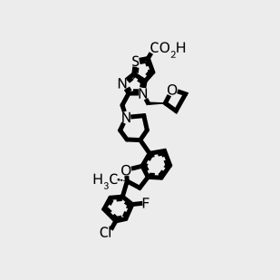 C[C@@]1(c2ccc(Cl)cc2F)Cc2cccc(C3CCN(Cc4nc5sc(C(=O)O)cc5n4C[C@@H]4CCO4)CC3)c2O1